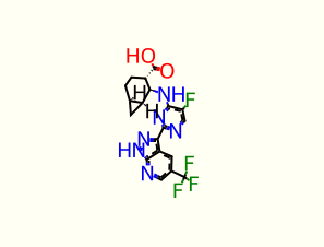 O=C(O)[C@H]1CC[C@@H]2C[C@@H]2[C@@H]1Nc1nc(-c2n[nH]c3ncc(C(F)(F)F)cc23)ncc1F